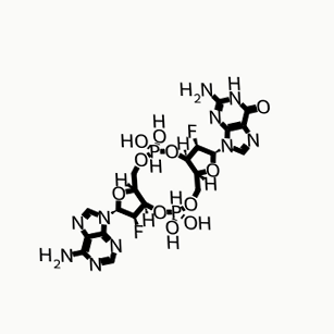 Nc1nc2c(ncn2[C@@H]2O[C@@H]3CO[PH](O)(O)O[C@H]4[C@@H](F)[C@H](n5cnc6c(N)ncnc65)O[C@@H]4CO[PH](O)(O)O[C@H]3[C@H]2F)c(=O)[nH]1